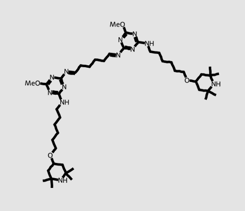 COc1nc(N=CCCCCC=Nc2nc(NCCCCCCOC3CC(C)(C)NC(C)(C)C3)nc(OC)n2)nc(NCCCCCCOC2CC(C)(C)NC(C)(C)C2)n1